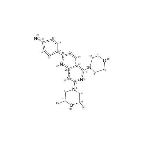 CC1CN(c2nc(N3CCOCC3)c3ccc(-c4ccc(C#N)cc4)nc3n2)CC(C)O1